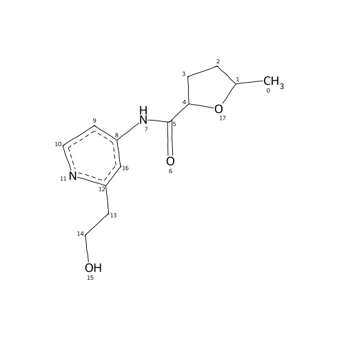 CC1CCC(C(=O)Nc2ccnc(CCO)c2)O1